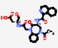 CC(=O)N1C[C@H](NC(=O)c2nccc3ccccc23)C(=O)N(CC(=O)N[C@H](C=O)CC(=O)O)c2ccccc21